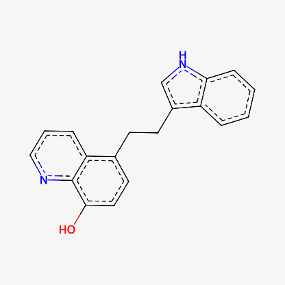 Oc1ccc(CCc2c[nH]c3ccccc23)c2cccnc12